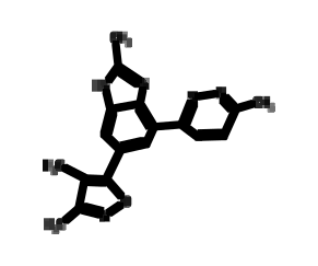 Cc1ccc(-c2cc(-c3onc(C)c3C)cc3[nH]c(C)nc23)nn1